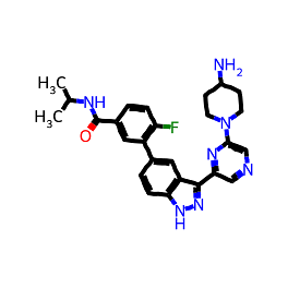 CC(C)NC(=O)c1ccc(F)c(-c2ccc3[nH]nc(-c4cncc(N5CCC(N)CC5)n4)c3c2)c1